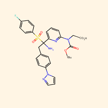 CC(C)(C)OC(=O)N(CC(=O)O)c1cccc(C(N)(Cc2ccc(-n3cccn3)cc2)S(=O)(=O)c2ccc(F)cc2)n1